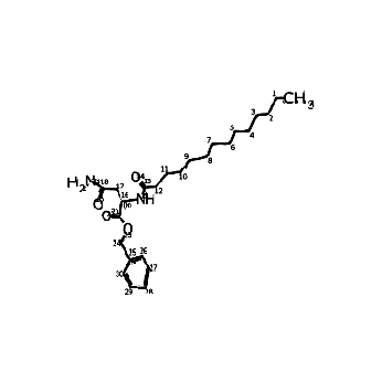 CCCCCCCCCCCCCC(=O)N[C@H](CC(N)=O)C(=O)OCc1ccccc1